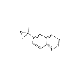 CC1(c2ccc3ncccc3c2)CC1